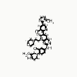 CC1CN(c2ccc(Nc3ncc4cc(-c5ncc(-c6ncnn6C)cc5Cl)c(=O)n(CCN5CCOCC5)c4n3)cc2Cl)CCN1